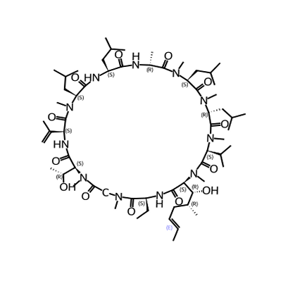 C=C(C)[C@@H]1NC(=O)[C@H]([C@@H](C)O)N(C)C(=O)CN(C)C(=O)[C@H](CC)NC(=O)[C@H]([C@H](O)[C@H](C)C/C=C/C)N(C)C(=O)[C@H](C(C)C)N(C)C(=O)[C@@H](CC(C)C)N(C)C(=O)[C@H](CC(C)C)N(C)C(=O)[C@@H](C)NC(=O)[C@H](CC(C)C)NC(=O)[C@H](CC(C)C)N(C)C1=O